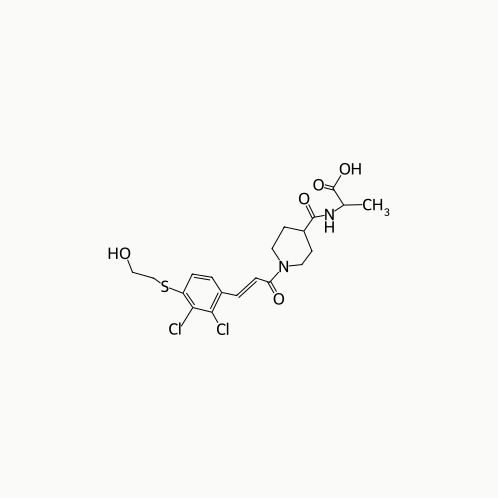 CC(NC(=O)C1CCN(C(=O)C=Cc2ccc(SCCO)c(Cl)c2Cl)CC1)C(=O)O